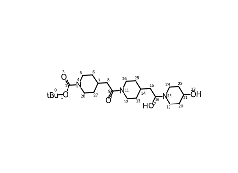 CC(C)(C)OC(=O)N1CCC(CC(=O)N2CCC(CC(O)N3CCC(O)CC3)CC2)CC1